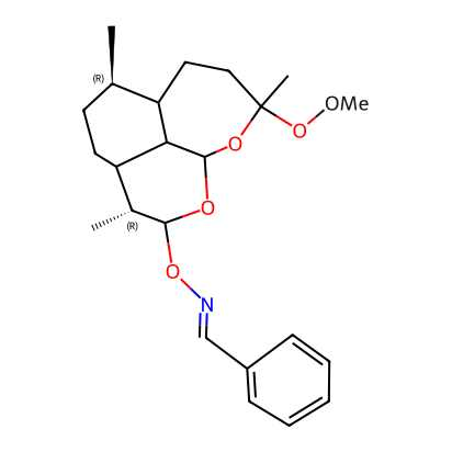 COOC1(C)CCC2C3C(OC(ON=Cc4ccccc4)[C@H](C)C3CC[C@H]2C)O1